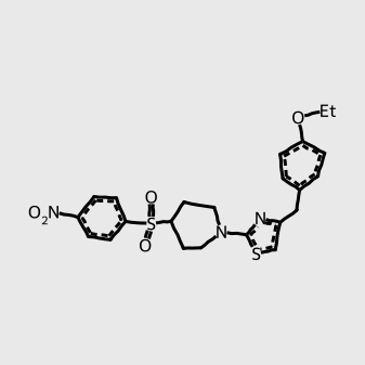 CCOc1ccc(Cc2csc(N3CCC(S(=O)(=O)c4ccc([N+](=O)[O-])cc4)CC3)n2)cc1